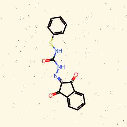 O=C(NN=c1c(=O)c2ccccc2c1=O)NSc1ccccc1